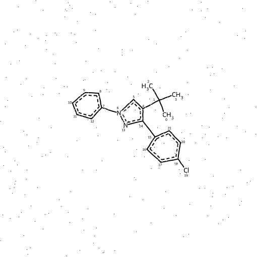 CC(C)(C)c1cn(-c2ccccc2)nc1-c1ccc(Cl)cc1